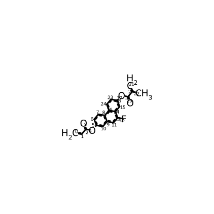 C=CC(=O)Oc1ccc2c(c1)cc(F)c1cc(OC(=O)C(=C)C)ccc12